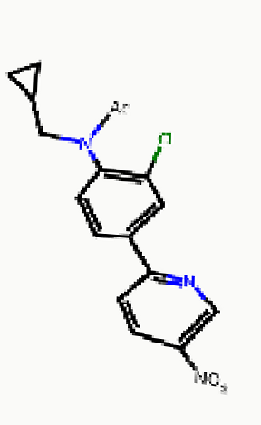 CC(=O)N(CC1CC1)c1ccc(-c2ccc([N+](=O)[O-])cn2)cc1Cl